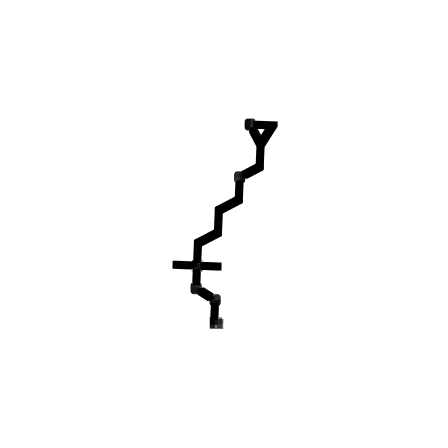 CCOO[Si](C)(C)CCCCOCC1CO1